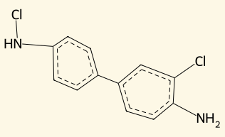 Nc1ccc(-c2ccc(NCl)cc2)cc1Cl